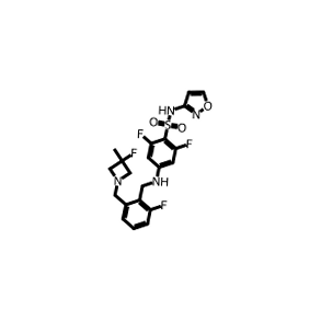 CC1(F)CN(Cc2cccc(F)c2CNc2cc(F)c(S(=O)(=O)Nc3ccon3)c(F)c2)C1